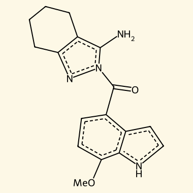 COc1ccc(C(=O)n2nc3c(c2N)CCCC3)c2cc[nH]c12